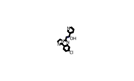 O/C(=C\C1=Nc2cc(Cl)ccc2C2=NCCN12)c1cccnc1